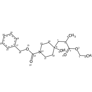 CCOC(=O)C(C)CC1(O)CCN(C(=O)OCc2ccccc2)CC1